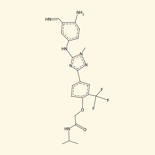 CC(C)NC(=O)COc1ccc(-c2nc(Nc3ccc(N)c(C=N)c3)n(C)n2)cc1C(F)(F)F